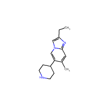 CCc1[c]n2cc(C3CCNCC3)c(C)cc2n1